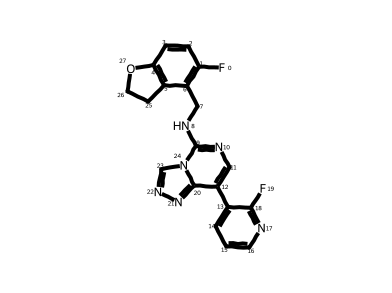 Fc1ccc2c(c1CNc1ncc(-c3cccnc3F)c3nncn13)CCO2